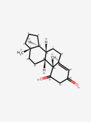 C[C@@]12CCC[C@H]1[C@@H]1CCC3=CC(=O)CC(=O)[C@]3(C)[C@@H]1CC2